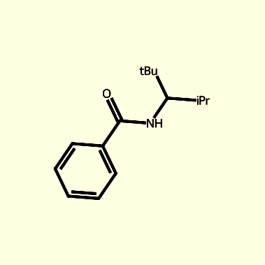 CC(C)C(NC(=O)c1ccccc1)C(C)(C)C